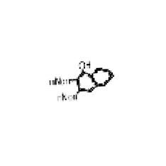 CCCCCCCCCc1cc2ccccc2c(O)c1CCCCCCCCC